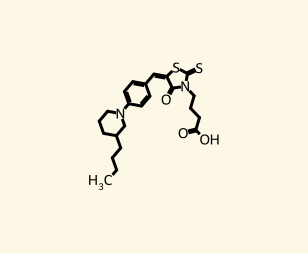 CCCCC1CCCN(c2ccc(C=C3SC(=S)N(CCCC(=O)O)C3=O)cc2)C1